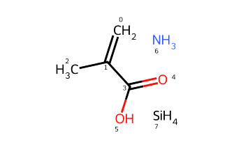 C=C(C)C(=O)O.N.[SiH4]